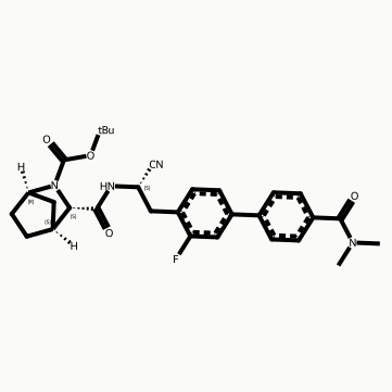 CN(C)C(=O)c1ccc(-c2ccc(C[C@@H](C#N)NC(=O)[C@@H]3[C@H]4CC[C@H](C4)N3C(=O)OC(C)(C)C)c(F)c2)cc1